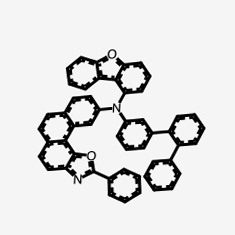 c1ccc(-c2nc3ccc4ccc5ccc(N(c6cccc(-c7ccccc7-c7ccccc7)c6)c6cccc7oc8ccccc8c67)cc5c4c3o2)cc1